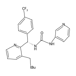 CC(C)(C)Cc1cccnc1[C@@H](NC(=O)Nc1cccnc1)c1ccc(C(F)(F)F)cc1